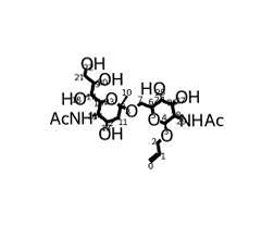 C=CCO[C@H]1OC(CO[C@]2(C)C[C@@H](O)[C@@H](NC(C)=O)C([C@H](O)[C@H](O)CO)O2)[C@H](O)C(O)C1NC(C)=O